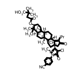 CC(C)C1=C2[C@H]3CC[C@@H]4C5(C)CC[C@H](OC(=O)CC(C)(C)C(=O)O)C(C)(C)[C@@H]5CC[C@@]4(C)[C@]3(C)CC[C@@]2(c2c(Cl)c(=O)n(-c3ccc(C#N)cc3)n2C)CC1=O